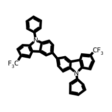 FC(F)(F)c1ccc2c(c1)c1cc(-c3ccc4c(c3)c3cc(C(F)(F)F)ccc3n4-c3ccccc3)ccc1n2-c1ccccc1